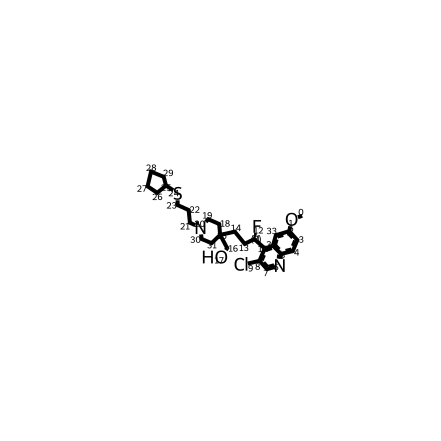 COc1ccc2ncc(Cl)c([C@H](F)CCC3(CO)CCN(CCCSC4CCCC4)CC3)c2c1